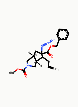 C=CCC1[C@@H]2CN(C(=O)OC(C)(C)C)C[C@@H]2CC1(N=[N+]=[N-])C(=O)OCc1ccccc1